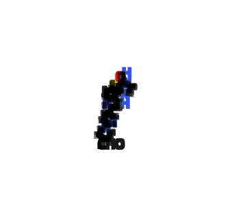 CC1CNc2c(sc3ccc4nc(-c5ccc(N6CCC(C=O)CC6)nc5)ccc4c23)C(=O)N1